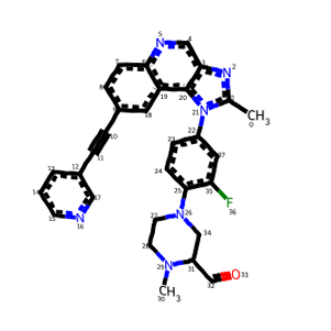 Cc1nc2cnc3ccc(C#Cc4cccnc4)cc3c2n1-c1ccc(N2CCN(C)C(C=O)C2)c(F)c1